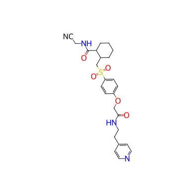 N#CCNC(=O)C1CCCCC1CS(=O)(=O)c1ccc(OCC(=O)NCCc2ccncc2)cc1